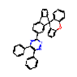 c1ccc(-c2nnc(-c3ccc4c(c3)C3(c5ccccc5Oc5ccccc53)c3ccccc3-4)nc2-c2ccccc2)cc1